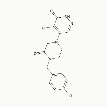 O=C1CN(c2cn[nH]c(=O)c2Cl)CCN1Cc1ccc(Cl)cc1